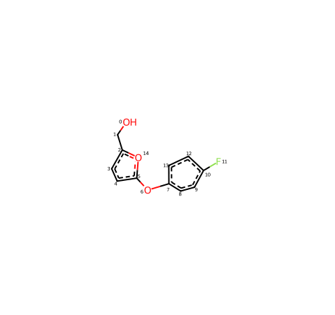 OCc1ccc(Oc2ccc(F)cc2)o1